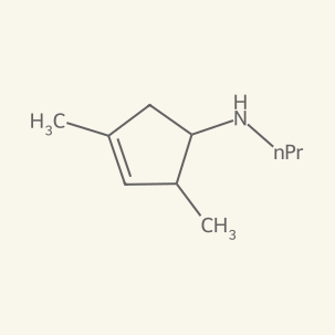 CCCNC1CC(C)=CC1C